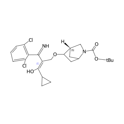 CC(C)(C)OC(=O)N1C[C@@H]2CC1CC2OC/C(C(=N)c1c(Cl)cccc1Cl)=C(/O)C1CC1